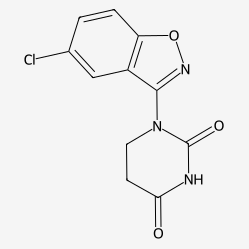 O=C1CCN(c2noc3ccc(Cl)cc23)C(=O)N1